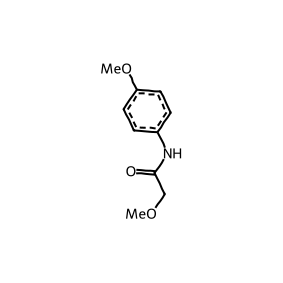 COCC(=O)Nc1ccc(OC)cc1